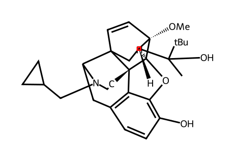 CO[C@@]12C=CC3(C[C@H]1C(C)(O)C(C)(C)C)C1Cc4ccc(O)c5c4[C@@]3(CCN1CC1CC1)[C@@H]2O5